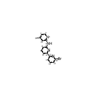 Cc1ccnc(Nc2cccc(-c3cccc(Br)n3)n2)c1